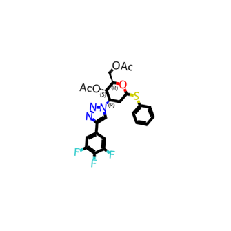 CC(=O)OC[C@H]1OC(Sc2ccccc2)C[C@@H](n2cc(-c3cc(F)c(F)c(F)c3)nn2)[C@@H]1OC(C)=O